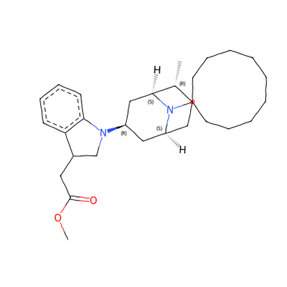 COC(=O)CC1CN([C@@H]2C[C@@H]3CC[C@@H](C)[C@H](C2)N3C2CCCCCCCCC2)c2ccccc21